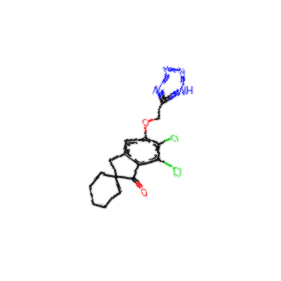 O=C1c2c(cc(OCc3nnn[nH]3)c(Cl)c2Cl)CC12CCCCC2